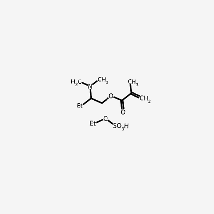 C=C(C)C(=O)OCC(CC)N(C)C.CCOS(=O)(=O)O